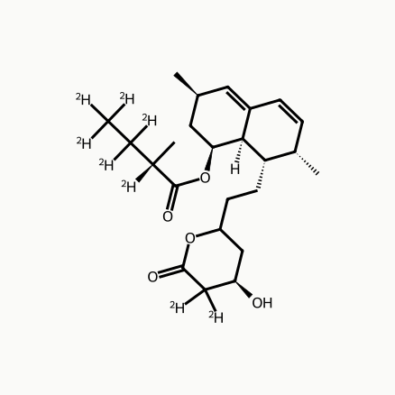 [2H]C1([2H])C(=O)OC(CC[C@@H]2[C@@H]3C(=C[C@H](C)C[C@@H]3OC(=O)[C@@]([2H])(C)C([2H])([2H])C([2H])([2H])[2H])C=C[C@@H]2C)C[C@H]1O